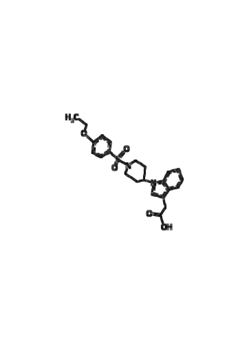 CCOc1ccc(S(=O)(=O)N2CCC(n3cc(CC(=O)O)c4ccccc43)CC2)cc1